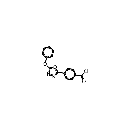 O=C(Cl)c1ccc(-c2nnc(Oc3ccccc3)o2)cc1